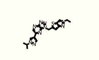 CCn1cc2sc(Cn3nnc4ncc(-c5cnn(C(C)C)c5)nc43)cc2n1